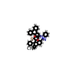 N#Cc1ccc2c(c1)C1(c3ccccc3S2)c2ccccc2-c2ccc(-c3nc4ccccc4n3-c3ccc4c5ccccc5c5ccccc5c4c3)cc21